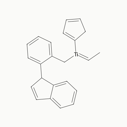 C/[CH]=[Ti](/[CH2]c1ccccc1C1C=Cc2ccccc21)[C]1=CC=CC1